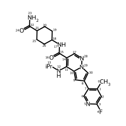 Cc1cc(F)ncc1-c1cc2c(NC(C)C)c(C(=O)NC3CCC(C(N)=O)CC3)cnn2c1